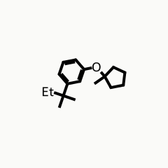 CCC(C)(C)c1cccc(OC2(C)CCCC2)c1